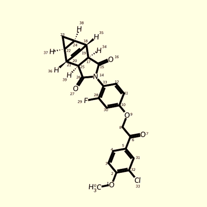 COc1ccc(C(=O)COc2ccc(N3C(=O)[C@@H]4[C@@H]5C=C[C@@H]([C@H]6C[C@@H]56)[C@@H]4C3=O)c(F)c2)cc1Cl